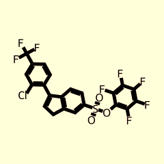 O=S(=O)(Oc1c(F)c(F)c(F)c(F)c1F)c1ccc2c(c1)CC=C2c1ccc(C(F)(F)F)cc1Cl